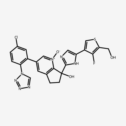 [O-][n+]1cc(-c2cc(Cl)ccc2-n2cnnn2)cc2c1C(O)(c1ncc(-c3csc(CO)c3F)[nH]1)CC2